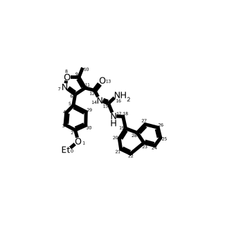 CCOc1ccc(-c2noc(C)c2C(=O)/N=C(\N)NCc2cccc3ccccc23)cc1